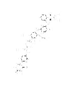 Cc1cc(Nc2ncc(Cl)c(Nc3ccccc3S(=O)(=O)C(C)C)n2)c(OC(C)C)cc1N1CCC(N(C)Cc2ccc(N3CCC(=O)NC3=O)nn2)CC1